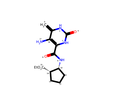 C=C1NC(=O)NC(C(=O)N[C@@H]2CCC[C@@H]2C(=O)OCC)=C1N